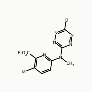 CCOC(=O)c1nc(N(C)c2nnc(Cl)nn2)ccc1Br